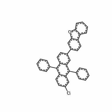 Clc1ccc2c(-c3ccccc3)c3ccc(-c4ccc5c(c4)oc4ccccc45)cc3c(-c3ccccc3)c2c1